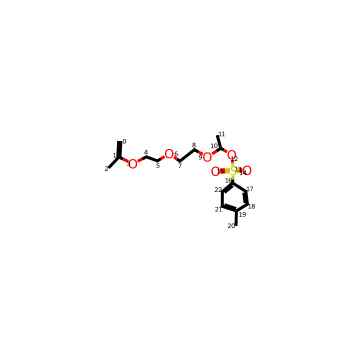 C=C(C)OCCOCCOC(C)OS(=O)(=O)c1ccc(C)cc1